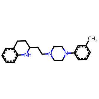 Cc1cccc(N2CCN(CCC3CCc4ccccc4N3)CC2)c1